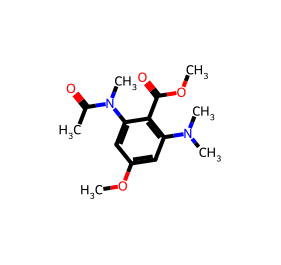 COC(=O)c1c(N(C)C)cc(OC)cc1N(C)C(C)=O